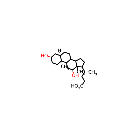 C[C@H](CCC(=O)O)C1CCC2C3CC[C@@H]4C[C@H](O)CC[C@]4(C)C3C[C@H](O)C21C